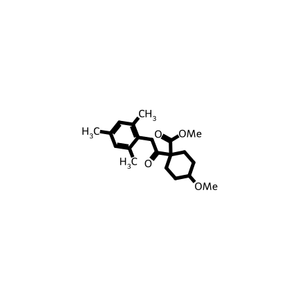 COC(=O)C1(C(=O)Cc2c(C)cc(C)cc2C)CCC(OC)CC1